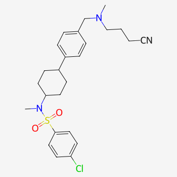 CN(CCCC#N)Cc1ccc(C2CCC(N(C)S(=O)(=O)c3ccc(Cl)cc3)CC2)cc1